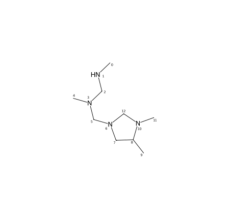 CNCN(C)CN1CC(C)N(C)C1